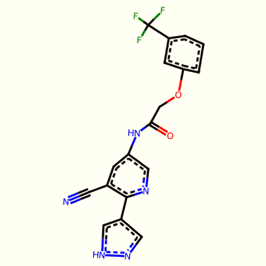 N#Cc1cc(NC(=O)COc2cccc(C(F)(F)F)c2)cnc1-c1cn[nH]c1